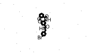 O=C(NCc1ccc(Br)cc1)c1ccc2c(c1)NC(=O)c1ccccc1S2(=O)=O